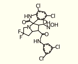 O=C(Nc1cc(Cl)cc(Cl)c1)C1C2CC(F)(F)CN2C2(C(=O)Nc3c(Cl)cc(Cl)cc32)C1C(=O)NO